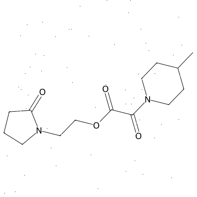 CC1CCN(C(=O)C(=O)OCCN2CCCC2=O)CC1